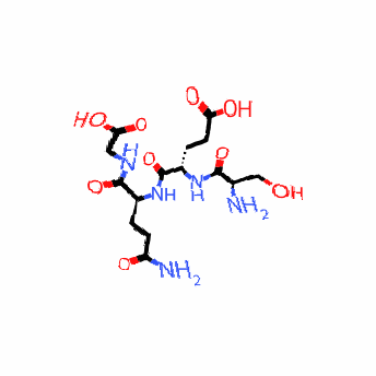 NC(=O)CC[C@H](NC(=O)[C@H](CCC(=O)O)NC(=O)[C@H](N)CO)C(=O)NCC(=O)O